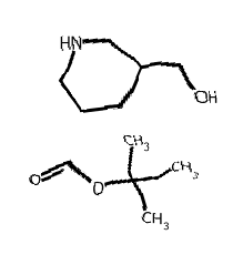 CC(C)(C)OC=O.OCC1CCCNC1